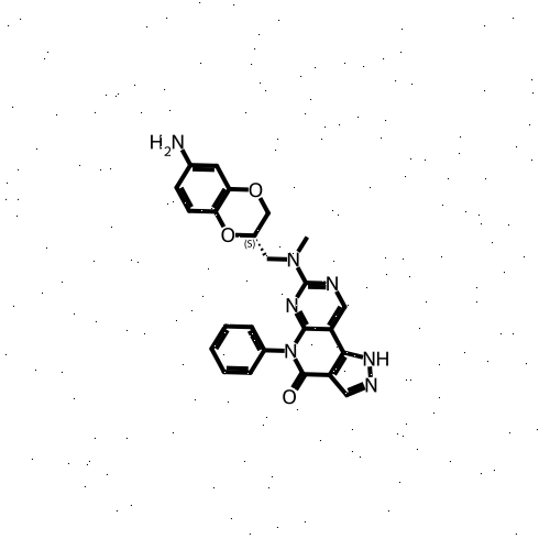 CN(C[C@H]1COc2cc(N)ccc2O1)c1ncc2c3[nH]ncc3c(=O)n(-c3ccccc3)c2n1